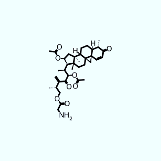 C=C(C(=O)[C@H](OC(C)=O)[C@@H](C)[C@H]1[C@@H](OC(C)=O)C[C@@]2(C)[C@@H]3CC[C@H]4[C@H](C)C(=O)C=C[C@@]45C[C@@]35CC[C@]12C)[C@@H](C)COC(=O)CN